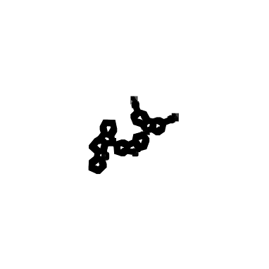 N#Cc1ccc2c(c1)c1cc(C#N)ccc1n2-c1ccc2sc3ccc(-n4c5ccccc5c5ccc6c7ccccc7oc6c54)cc3c2c1